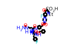 CCN1C=C(C(=O)O)C(=O)C2C=C(F)C(N3CCN(C(=O)OCc4ccc(NC(=O)[C@H](CCCNC(N)=O)n5cc([C@H](Cc6ccc(F)cc6)NC(=O)OCc6ccccc6)nn5)cc4)CC3)=CC21